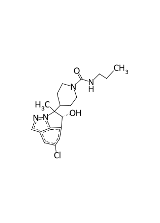 CCCNC(=O)N1CCC(C2(C)[C@H](O)c3cc(Cl)cc4cnn2c34)CC1